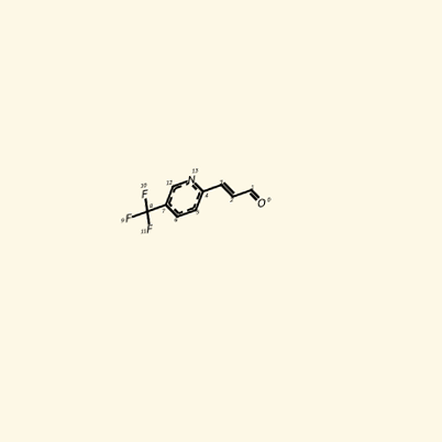 O=C/C=C/c1ccc(C(F)(F)F)cn1